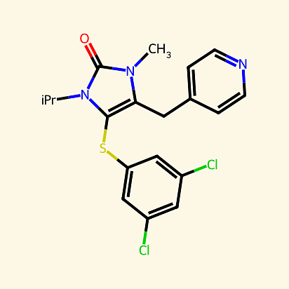 CC(C)n1c(Sc2cc(Cl)cc(Cl)c2)c(Cc2ccncc2)n(C)c1=O